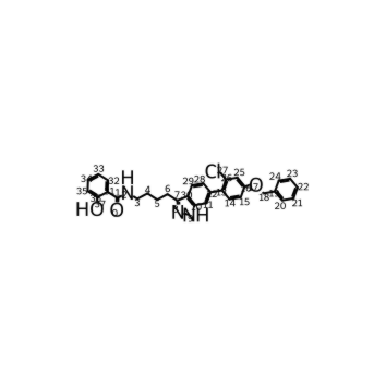 O=C(NCCCCc1n[nH]c2cc(-c3ccc(OCc4ccccc4)cc3Cl)ccc12)c1ccccc1O